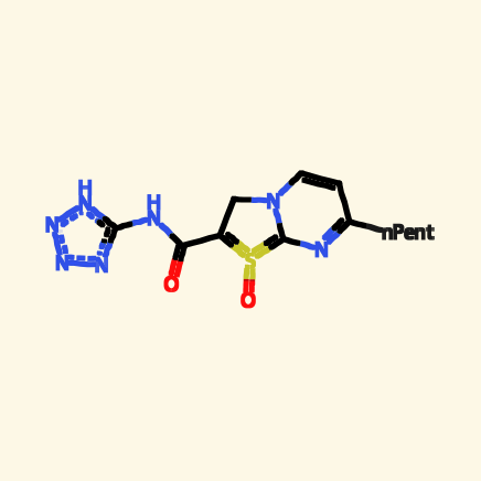 CCCCCC1=NC2=S(=O)=C(C(=O)Nc3nnn[nH]3)CN2C=C1